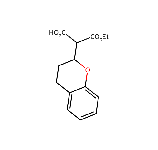 CCOC(=O)C(C(=O)O)C1CCc2ccccc2O1